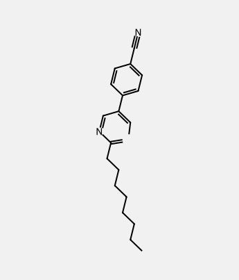 C=C(CCCCCCCC)/N=C\C(=C/C)c1ccc(C#N)cc1